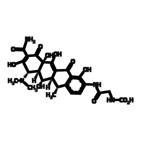 C[C@H]1c2ccc(NC(=O)CNC(=O)O)c(O)c2C(=O)C2=C(O)[C@]3(O)C(=O)C(C(N)=O)=C(O)[C@@H](N(C)C)[C@@H]3[C@@H](O)[C@@H]21